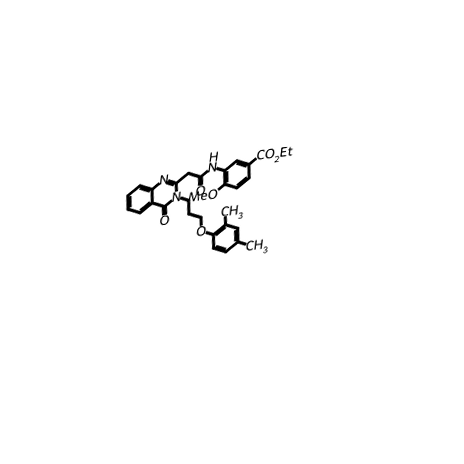 CCOC(=O)c1ccc(OC)c(NC(=O)Cc2nc3ccccc3c(=O)n2CCCOc2ccc(C)cc2C)c1